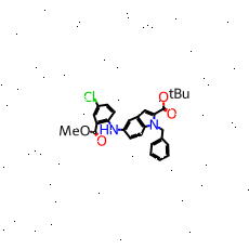 COC(=O)c1cc(Cl)ccc1Nc1ccc2c(c1)cc(C(=O)OC(C)(C)C)n2Cc1ccccc1